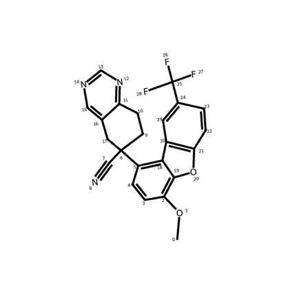 COc1ccc(C2(C#N)CCc3ncncc3C2)c2c1oc1ccc(C(F)(F)F)cc12